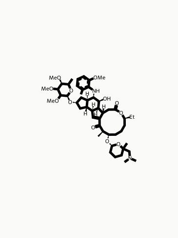 CC[C@H]1CCC[C@H](O[C@H]2CCCC(C)(CN(C)C)O2)[C@@H](C)C(=O)C2=C[C@H]3[C@@H]4C[C@H](O[C@@H]5OC(C)[C@H](OC)C(OC)C5OC)C[C@H]4[C@H](Nc4c(C)cccc4OC)[C@@H](O)[C@H]3[C@@H]2CC(=O)O1